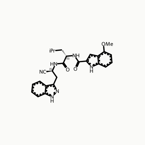 COc1cccc2[nH]c(C(=O)N[C@@H](CC(C)C)C(=O)N[C@H](C#N)Cc3n[nH]c4ccccc34)cc12